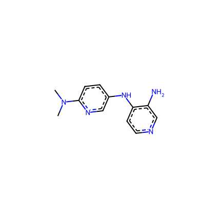 CN(C)c1ccc(Nc2ccncc2N)cn1